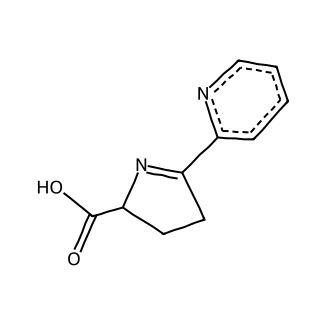 O=C(O)C1CCC(c2ccccn2)=N1